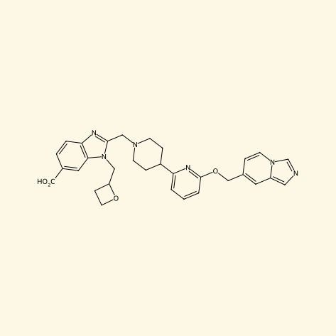 O=C(O)c1ccc2nc(CN3CCC(c4cccc(OCc5ccn6cncc6c5)n4)CC3)n(CC3CCO3)c2c1